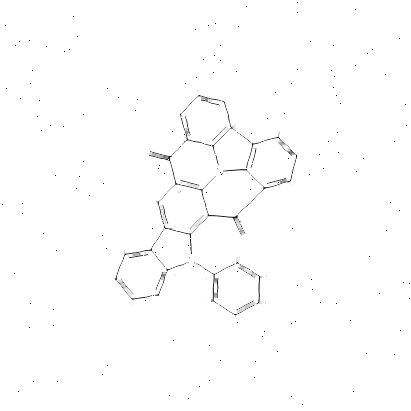 O=c1c2cccc3c4cccc5c(=O)c6c7c(cc1c6n(c23)c54)c1ccccc1n7-c1ccccc1